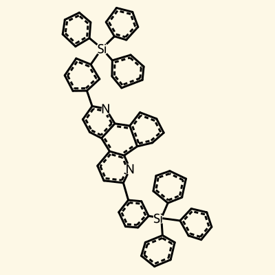 c1ccc([Si](c2ccccc2)(c2ccccc2)c2cccc(-c3ccc4c5ccc(-c6cccc([Si](c7ccccc7)(c7ccccc7)c7ccccc7)c6)nc5c5ccccc5c4n3)c2)cc1